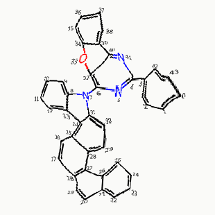 c1ccc(-c2nc(-n3c4ccccc4c4c5ccc6ccc7ccccc7c6c5ccc43)c3oc4ccccc4c3n2)cc1